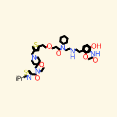 CC(C)c1nc(C(=O)N2CCOC3(CCN(Cc4csc(CCOCCC(=O)N(CCNCCc5ccc(O)c6c5OCC(=O)N6)C5CCCCC5)c4)CC3)C2)cs1